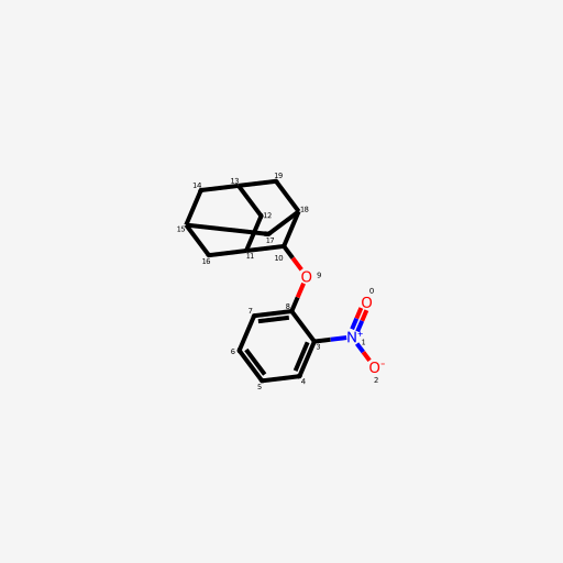 O=[N+]([O-])c1ccccc1OC1C2CC3CC(C2)CC1C3